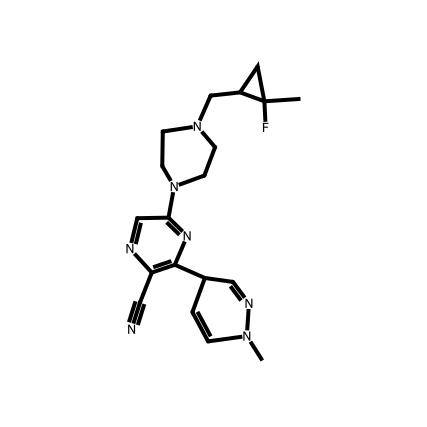 CN1C=CC(c2nc(N3CCN(CC4CC4(C)F)CC3)cnc2C#N)C=N1